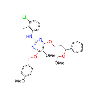 COCOC(CCOc1nc(Nc2cccc(Cl)c2C)nc(OCc2ccc(OC)cc2)c1OC)c1ccccc1